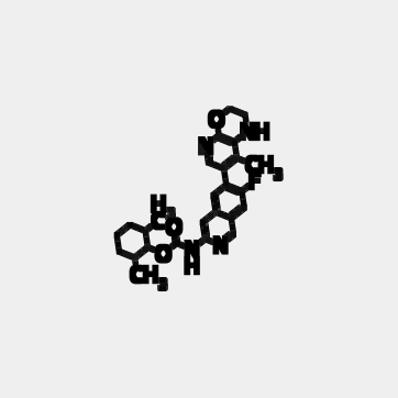 Cc1c(-c2cc3cc(NC(=O)OC4C(C)CCCC4C)ncc3cc2F)cnc2c1NCCO2